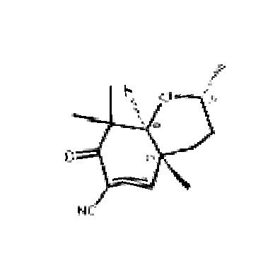 C[C@@H]1CC[C@]2(C)C=C(C#N)C(=O)C(C)(C)[C@H]2O1